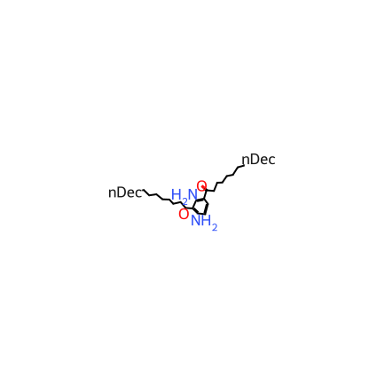 CCCCCCCCCCCCCCCCCC(=O)c1ccc(N)c(C(=O)CCCCCCCCCCCCCCCCC)c1N